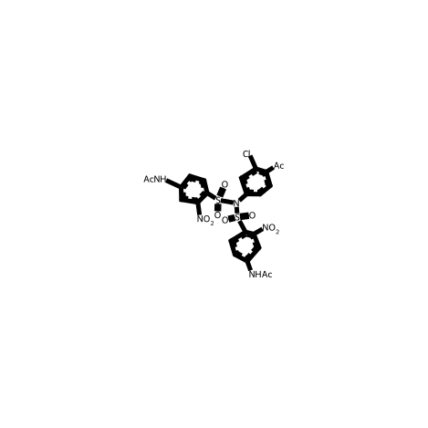 CC(=O)Nc1ccc(S(=O)(=O)N(c2ccc(C(C)=O)c(Cl)c2)S(=O)(=O)c2ccc(NC(C)=O)cc2[N+](=O)[O-])c([N+](=O)[O-])c1